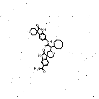 NC(=O)c1ccc2c(c1)NC(=O)C21CCOC(C(C(=O)Nc2ccc3c(c2)NC(=O)C32CCOCC2)C2CCCCCCC2)C1